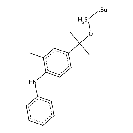 Cc1cc(C(C)(C)O[SiH2]C(C)(C)C)ccc1Nc1ccccc1